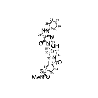 CNS(=O)(=O)c1ccc(C(=O)N2CCC(O)(Cn3cnc4c(cnn4-c4ccccc4)c3=O)CC2)cc1